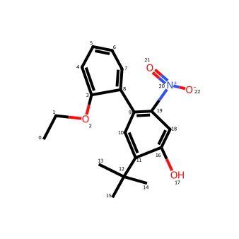 CCOc1ccccc1-c1cc(C(C)(C)C)c(O)cc1[N+](=O)[O-]